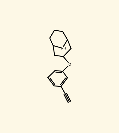 C#Cc1cccc(OC2CC3CCCC(C2)N3)c1